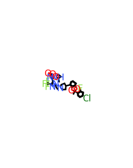 CC1(c2ccc(Cl)cc2F)Oc2cccc(C3CCN(Cc4nc(C(F)(F)F)c(-c5nc(=O)o[nH]5)n4CC4CCO4)CC3)c2O1